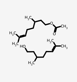 CC(=O)OCCC(C)CCC=C(C)C.CC(C)=CCCC(C)CCO